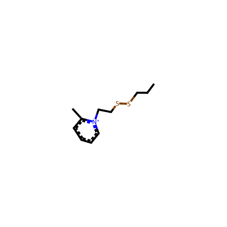 CCCSSCC[n+]1ccccc1C